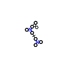 CC(C)(c1ccc(N(c2ccccc2)c2ccccc2)cc1)c1ccc(N(c2ccccc2)c2ccc3c(c2)C2(CCCC2)c2ccccc2-3)cc1